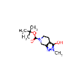 Cn1nc2c(c1O)CCN(C(=O)OC(C)(C)C)C2